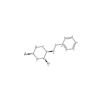 CC[C@H]1O[C@@H](C(C)C)OC[C@H]1OCc1ccccc1